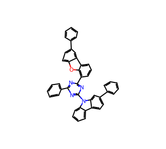 c1ccc(-c2ccc3oc4c(-c5nc(-c6ccccc6)nc(-n6c7ccccc7c7ccc(-c8ccccc8)cc76)n5)cccc4c3c2)cc1